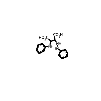 O=C(O)C(NNc1ccccc1)C(Nc1ccccc1)C(=O)O